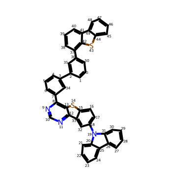 c1cc(-c2cccc(-c3ncnc4c3sc3ccc(-n5c6ccccc6c6ccccc65)cc34)c2)cc(-c2cccc3c2sc2ccccc23)c1